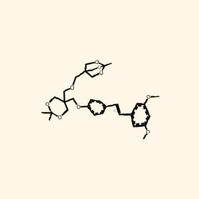 COc1cc(/C=C/c2ccc(OCC3(COCC45COC(C)(OC4)OC5)COC(C)(C)OC3)cc2)cc(OC)c1